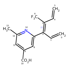 C=C/C(=C(\C=C)C(F)(F)F)c1cc(C(=O)O)cc(C)n1